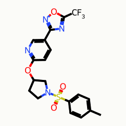 Cc1ccc(S(=O)(=O)N2CCC(Oc3ccc(-c4noc(C(F)(F)F)n4)cn3)C2)cc1